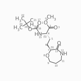 COC(=O)[C@H](CC[C@@H]1OCCCNC1=O)NC(=O)OC(C)(C)C